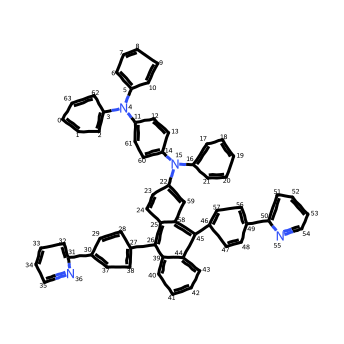 c1ccc(N(c2ccccc2)c2ccc(N(c3ccccc3)c3ccc4c(-c5ccc(-c6ccccn6)cc5)c5ccccc5c(-c5ccc(-c6ccccn6)cc5)c4c3)cc2)cc1